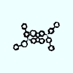 C1=CCC2=C(C=C1)c1ccc(N(c3ccc(-c4ccccc4)cc3)c3ccc(-c4ccccc4)cc3)cc1C21c2ccccc2-c2ccc(N(C3=CCC=C(c4ccccc4)C=C3)c3ccc(-c4ccccc4)cc3)cc21